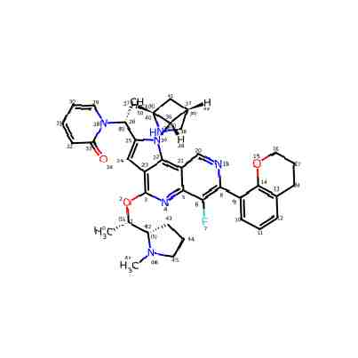 C[C@H](Oc1nc2c(F)c(-c3cccc4c3OCCC4)ncc2c2c1cc([C@@H](C)n1ccccc1=O)n2[C@H]1[C@H]2CN[C@@H]1C2)[C@@H]1CCCN1C